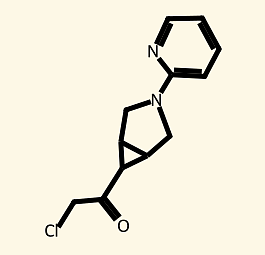 O=C(CCl)C1C2CN(c3ccccn3)CC21